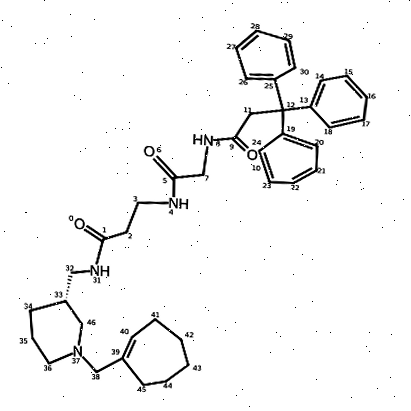 O=C(CCNC(=O)CNC(=O)CC(c1ccccc1)(c1ccccc1)c1ccccc1)NC[C@H]1CCCN(CC2=CCCCCC2)C1